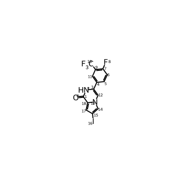 O=c1[nH]c(-c2ccc(F)c(C(F)(F)F)c2)cn2cc(I)cc12